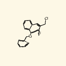 Fc1c(CCl)cc2ccccc2c1OCc1ccccc1